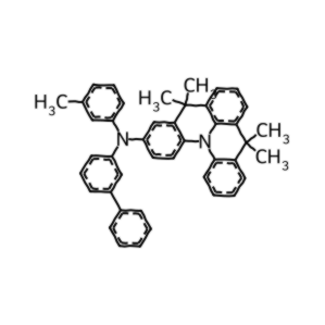 Cc1cccc(N(c2cccc(-c3ccccc3)c2)c2ccc3c(c2)C(C)(C)c2cccc4c2N3c2ccccc2C4(C)C)c1